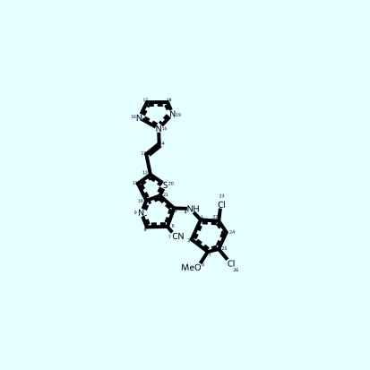 COc1cc(Nc2c(C#N)cnc3cc(C=Cn4nccn4)sc23)c(Cl)cc1Cl